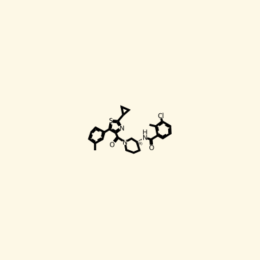 Cc1cccc(-c2sc(C3CC3)nc2C(=O)N2CCC[C@@H](NC(=O)c3cccc(Cl)c3C)C2)c1